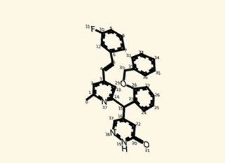 Cc1cc(C=Cc2cccc(F)c2)cc(C(c2cn[nH]c(=O)c2)c2ccccc2OCc2ccccc2)n1